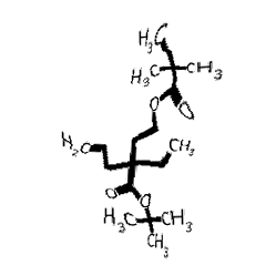 C=CCC(CC)(CCOC(=O)C(C)(C)CC)C(=O)OC(C)(C)C